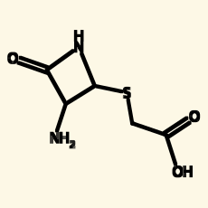 NC1C(=O)NC1SCC(=O)O